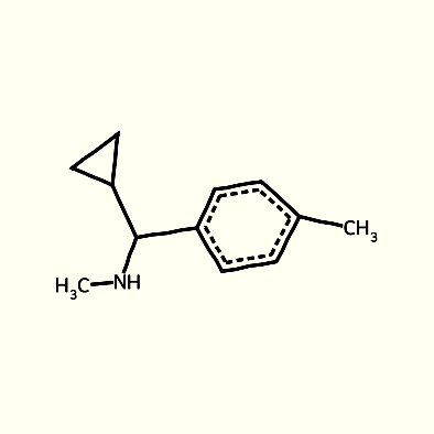 CNC(c1ccc(C)cc1)C1CC1